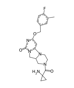 Cc1cc(COc2cc3n(c(=O)n2)CC2CN(C(=O)C4(N)CC4)CCN32)ccc1F